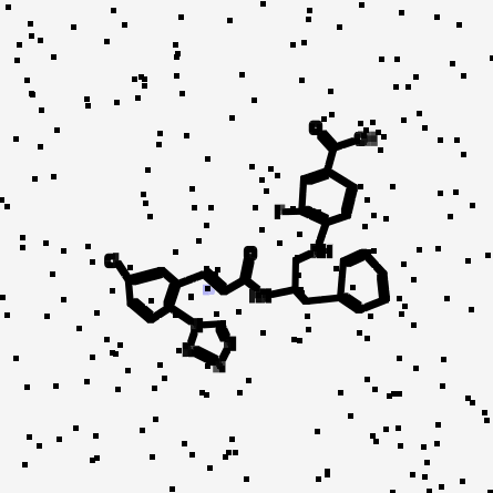 O=C(/C=C/c1cc(Cl)ccc1-n1cnnn1)NC(CNc1ccc(C(=O)O)cc1F)Cc1ccccc1